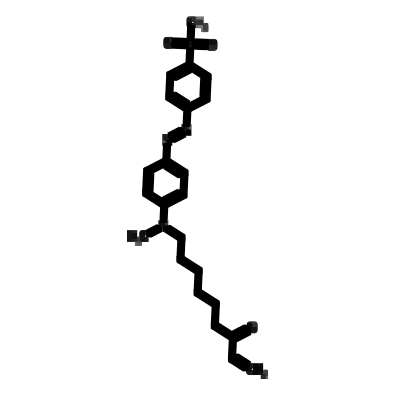 C=CC(=O)CCCCCCN(C)c1ccc(/N=N/c2ccc(S(C)(=O)=O)cc2)cc1